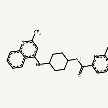 Cc1cccc(C(=O)NC2CCC(Nc3cc(C(F)(F)F)nc4ccccc34)CC2)n1